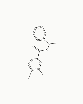 Cc1ccc(C(=O)OC(C)c2ccccc2)cc1C